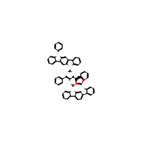 c1ccc(-c2nc(-n3c4ccccc4c4ccc5c6ccccc6n(-c6ccccc6)c5c43)nc3c(-c4ccccc4)nc(-n4c5ccccc5c5cc6c(cc54)c4ccccc4n6-c4ccccc4)nc23)cc1